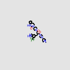 CN1CCC(N2CCN(C(=O)C(CC(=O)N3CCC(N4CCc5ccccc5NC4=O)CC3)Cc3cc(C(F)(F)F)c4[nH]ncc4c3)CC2)CC1